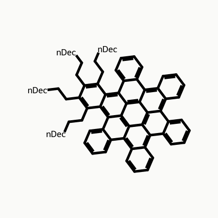 CCCCCCCCCCCCc1c(CCCCCCCCCCCC)c(CCCCCCCCCCCC)c2c(c1CCCCCCCCCCCC)c1c3ccccc3c3c4ccccc4c4c5ccccc5c5c6ccccc6c6c7ccccc7c2c2c6c5c4c3c12